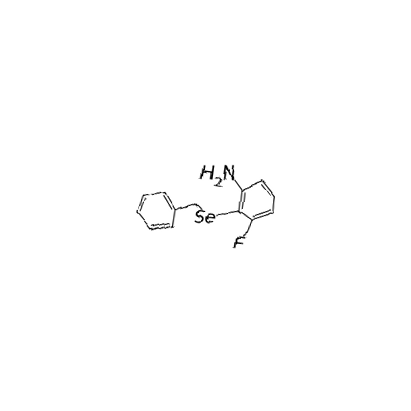 Nc1cccc(F)c1[Se]Cc1ccccc1